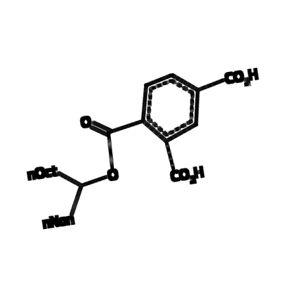 CCCCCCCCCC(CCCCCCCC)OC(=O)c1ccc(C(=O)O)cc1C(=O)O